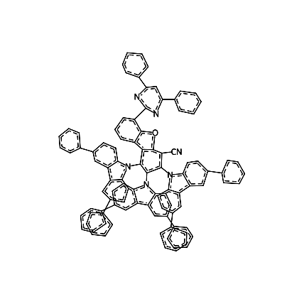 N#Cc1c(-n2c3ccc(-c4ccccc4)cc3c3cc(-c4ccccc4)ccc32)c(-n2c3ccc(-c4ccccc4)cc3c3cc(-c4ccccc4)ccc32)c(-n2c3ccc(-c4ccccc4)cc3c3cc(-c4ccccc4)ccc32)c2c1oc1c(-c3nc(-c4ccccc4)cc(-c4ccccc4)n3)cccc12